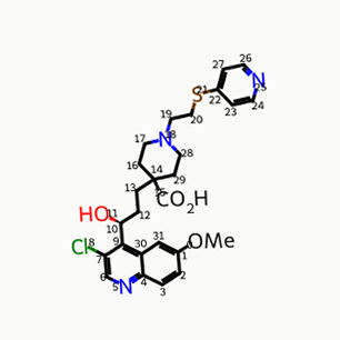 COc1ccc2ncc(Cl)c([C@@H](O)CCC3(C(=O)O)CCN(CCSc4ccncc4)CC3)c2c1